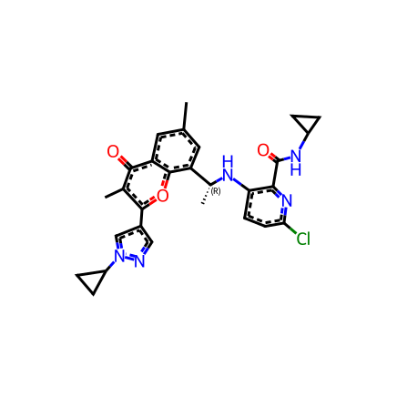 Cc1cc([C@@H](C)Nc2ccc(Cl)nc2C(=O)NC2CC2)c2oc(-c3cnn(C4CC4)c3)c(C)c(=O)c2c1